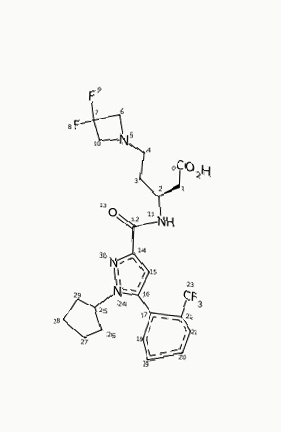 O=C(O)C[C@H](CCN1CC(F)(F)C1)NC(=O)c1cc(-c2ccccc2C(F)(F)F)n(C2CCCC2)n1